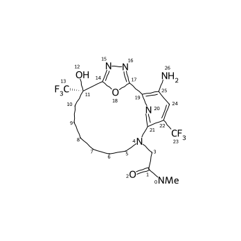 CNC(=O)CN1CCCCCC[C@](O)(C(F)(F)F)c2nnc(o2)-c2nc1c(C(F)(F)F)cc2N